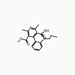 CCC[S+]([O-])c1ccccc1-c1c(C(=O)O)c(C)nc(C)c1C(=O)OC